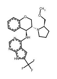 COC[C@H]1CCCN1[C@H]1COc2ccccc2[C@@H]1Nc1ncnc2[nH]c(C(F)(F)F)cc12